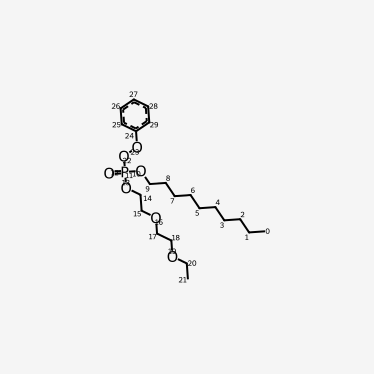 CCCCCCCCCCOP(=O)(OCCOCCOCC)OOc1ccccc1